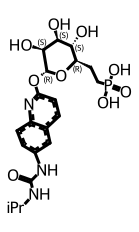 CC(C)NC(=O)Nc1ccc2nc(O[C@H]3O[C@H](CCP(=O)(O)O)[C@@H](O)[C@H](O)[C@@H]3O)ccc2c1